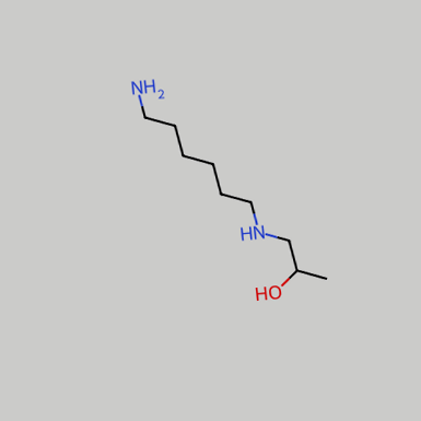 CC(O)CNCCCCCCN